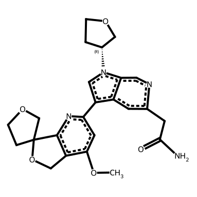 COc1cc(-c2cn([C@@H]3CCOC3)c3cnc(CC(N)=O)cc23)nc2c1COC21CCOC1